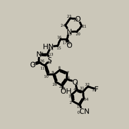 N#Cc1ccc(Oc2ccc(/C=C3\SC(NCCC(=O)N4CCOCC4)=NC3=O)cc2O)c(CF)c1